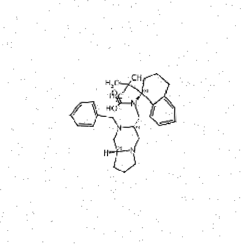 CC(C)(C)[C@]1(N(C[C@@H]2CN3CCC[C@@H]3CN2Cc2ccccc2)C(=O)O)CCCc2ccccc21